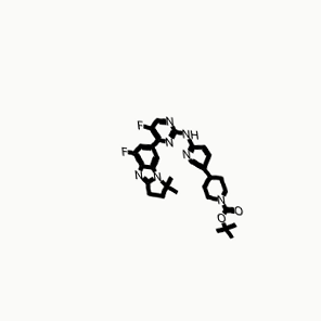 CC(C)(C)OC(=O)N1CCC(c2ccc(Nc3ncc(F)c(-c4cc(F)c5nc6n(c5c4)C(C)(C)CC6)n3)nc2)CC1